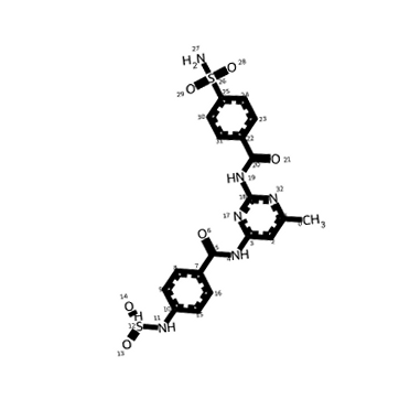 Cc1cc(NC(=O)c2ccc(N[SH](=O)=O)cc2)nc(NC(=O)c2ccc(S(N)(=O)=O)cc2)n1